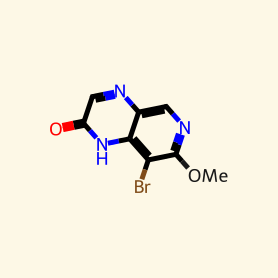 COc1ncc2ncc(=O)[nH]c2c1Br